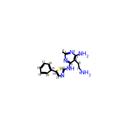 Cc1nc(N)c(CCN)c(Nc2ncc(-c3ccccc3)s2)n1